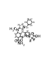 CN(c1ccc(S(N)(=O)=O)c(F)c1Cc1cscn1)[C@H]1CCN(Cc2ccccc2)C1.O=C(O)C(F)(F)F